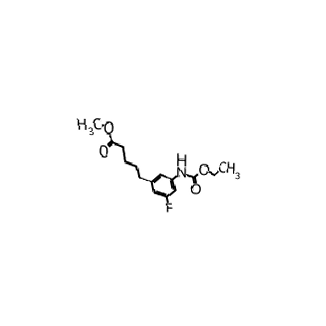 CCOC(=O)Nc1cc(F)cc(CCCCC(=O)OC)c1